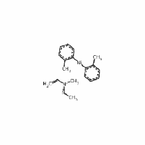 C=C[N+](C)=NC.Cc1cccc[c]1[Ni][c]1ccccc1C